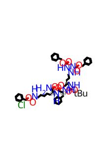 CC(C)(C)OC(=O)N[C@H](CCCN/C(=N\C(=O)OCc1ccccc1)NC(=O)OCc1ccccc1)C(=O)N[C@@H](Cc1ccccc1)C(=O)N[C@@H](CCCCCNC(=O)OCc1ccccc1Cl)C(N)=O